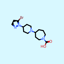 O=C(O)N1CCCC(N2CCC(n3nccc3Br)CC2)CC1